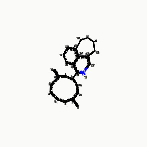 C=c1ccccc(=C)cc(-c2ncc3c4c(cccc24)CCCC3)cc1